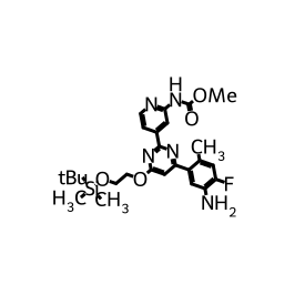 COC(=O)Nc1cc(-c2nc(OCCO[Si](C)(C)C(C)(C)C)cc(-c3cc(N)c(F)cc3C)n2)ccn1